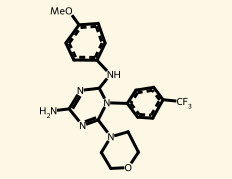 COc1ccc(NC2N=C(N)N=C(N3CCOCC3)N2c2ccc(C(F)(F)F)cc2)cc1